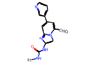 CCNC(=O)Nc1cn2c(C=O)cc(-c3cccnc3)cc2n1